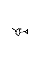 CC1=NCC(C2CC2)N1